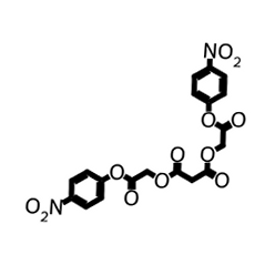 O=C(CC(=O)OCC(=O)Oc1ccc([N+](=O)[O-])cc1)OCC(=O)Oc1ccc([N+](=O)[O-])cc1